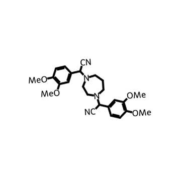 COc1ccc(C(C#N)N2CCCN(C(C#N)c3ccc(OC)c(OC)c3)CC2)cc1OC